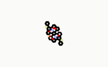 Fc1ccccc1-c1c(C2CCCCC2)c(-n2c3ccccc3c3c4c(ccc32)sc2ccccc24)c(C2CCCCC2)c(-c2ccccc2F)c1-n1c2ccccc2c2c3c(ccc21)sc1ccccc13